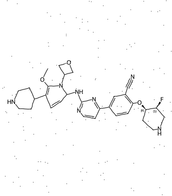 COC1=C(C2CCNCC2)C=CC(Nc2nccc(-c3ccc(O[C@@H]4CCNC[C@@H]4F)c(C#N)c3)n2)N1C1COC1